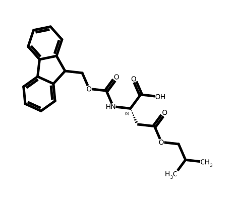 CC(C)COC(=O)C[C@H](NC(=O)OCC1c2ccccc2-c2ccccc21)C(=O)O